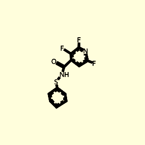 O=C(NSc1ccccc1)c1cc(F)nc(F)c1F